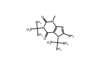 Bc1nc2c(c(=O)n(C(B)(B)B)c(=O)n2C)n1C(B)(B)B